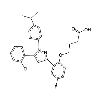 CC(C)c1ccc(-n2nc(-c3cc(F)ccc3OCCCC(=O)O)cc2-c2ccccc2Cl)cc1